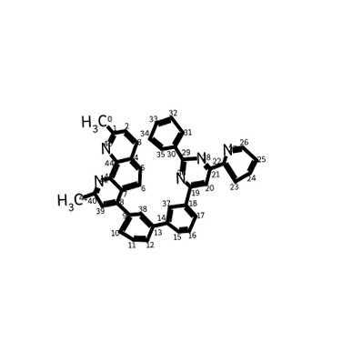 Cc1ccc2ccc3c(-c4cccc(-c5cccc(-c6cc(-c7ccccn7)nc(-c7ccccc7)n6)c5)c4)cc(C)nc3c2n1